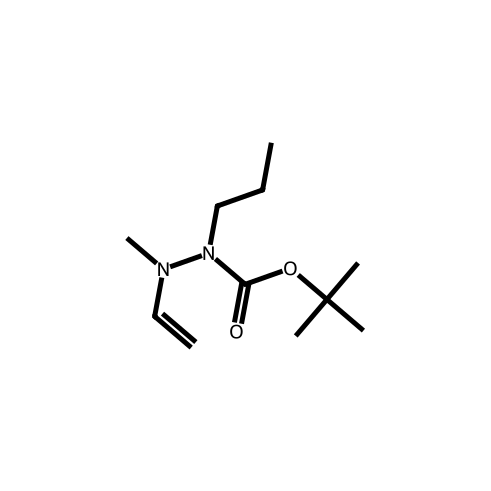 C=CN(C)N(CCC)C(=O)OC(C)(C)C